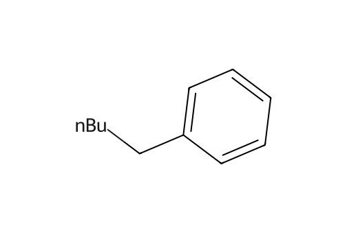 [CH2]CCCCc1ccccc1